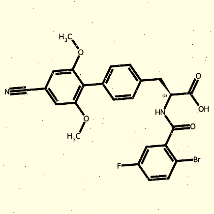 COc1cc(C#N)cc(OC)c1-c1ccc(C[C@H](NC(=O)c2cc(F)ccc2Br)C(=O)O)cc1